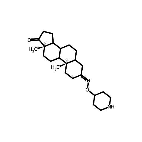 C[C@]12CCC(=NOC3CCNCC3)CC1CCC1C2CC[C@]2(C)C(=O)CCC12